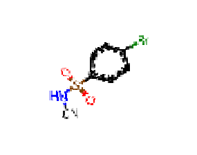 N#CNS(=O)(=O)c1ccc(Br)cc1